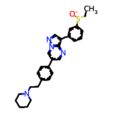 CC[S+]([O-])c1cccc(-c2cnn3cc(-c4ccc(CCN5CCCCC5)cc4)cnc23)c1